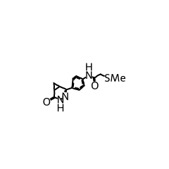 CSCC(=O)Nc1ccc(C2=NNC(=O)C3CC23)cc1